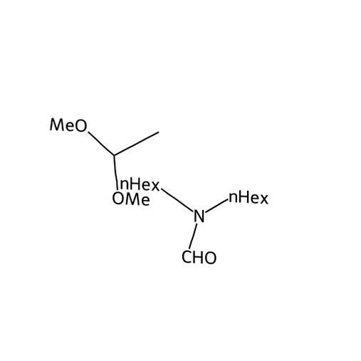 CCCCCCN(C=O)CCCCCC.COC(C)OC